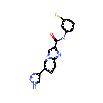 O=C(Nc1cccc(F)c1)c1cn2cc(-c3c[nH]nn3)ccc2n1